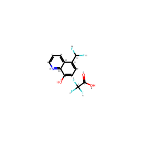 O=C(O)C(F)(F)F.Oc1ccc(C(F)F)c2cccnc12